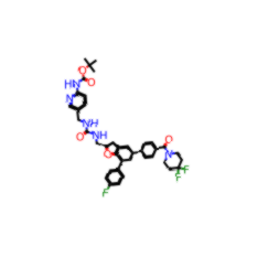 CC(C)(C)OC(=O)Nc1ccc(CNC(=O)NCc2cc3cc(-c4ccc(C(=O)N5CCC(F)(F)CC5)cc4)cc(-c4ccc(F)cc4)c3o2)cn1